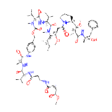 CC[C@H](C)[C@@H]([C@@H](CC(=O)N1CCC[C@H]1[C@H](OC)[C@@H](C)C(=O)N[C@H](C)[C@@H](O)c1ccccc1)OC)N(C)C(=O)[C@@H](NC(=O)[C@H](C(C)C)N(C)C(=O)OCc1ccc(NC(=O)[C@H](C)NC(=O)[C@@H](NC(=O)CCNC(=O)/C=C\C(=O)OC)C(C)C)cc1)C(C)C